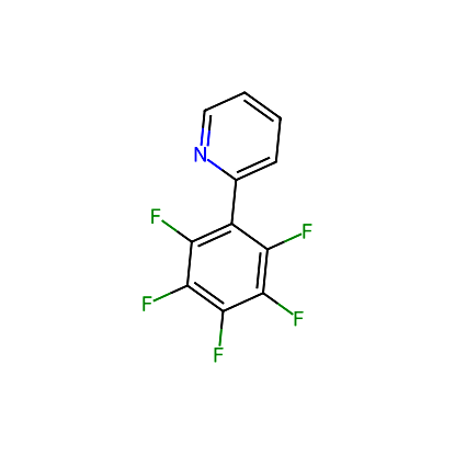 Fc1c(F)c(F)c(-c2ccccn2)c(F)c1F